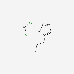 CCCC1=CC=C[C]1C.[Cl][Zr][Cl]